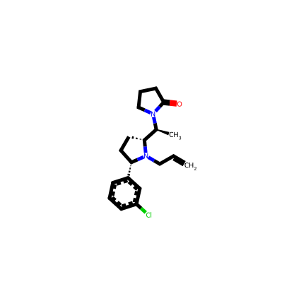 C=CCN1[C@@H]([C@H](C)N2CCCC2=O)CC[C@H]1c1cccc(Cl)c1